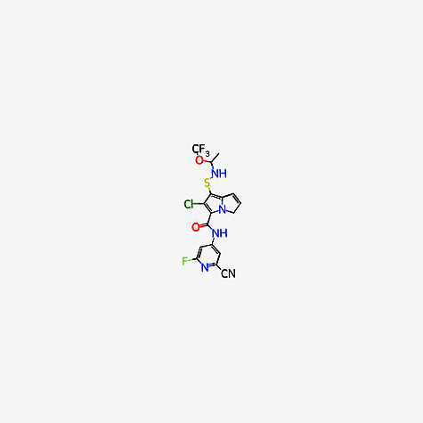 CC(NSc1c(Cl)c(C(=O)Nc2cc(F)nc(C#N)c2)n2c1C=CC2)OC(F)(F)F